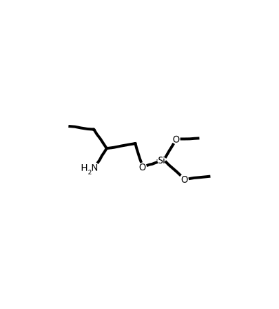 CCC(N)CO[Si](OC)OC